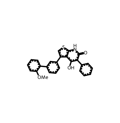 COc1ccccc1-c1cccc(-c2csc3[nH]c(=O)c(-c4ccccc4)c(O)c23)c1